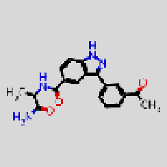 CC(=O)c1cccc(-c2n[nH]c3ccc(C(=O)NC(C)C(N)=O)cc23)c1